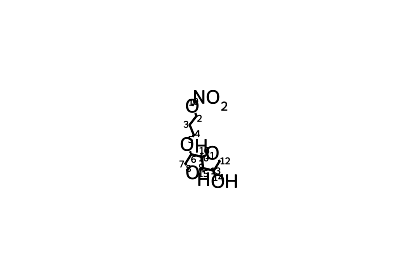 O=[N+]([O-])OCCCO[C@@H]1CO[C@H]2[C@@H]1OC[C@H]2O